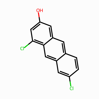 Oc1cc(Cl)c2cc3cc(Cl)ccc3cc2c1